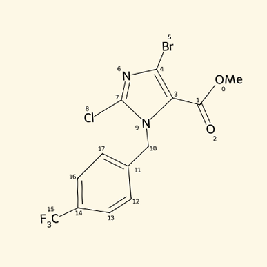 COC(=O)c1c(Br)nc(Cl)n1Cc1ccc(C(F)(F)F)cc1